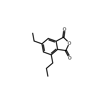 CCCc1cc(CC)cc2c1C(=O)OC2=O